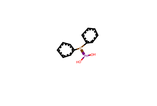 O[PH](O)=S(c1ccccc1)c1ccccc1